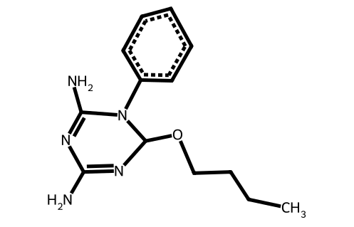 CCCCOC1N=C(N)N=C(N)N1c1ccccc1